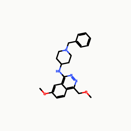 COCc1nnc(NC2CCN(Cc3ccccc3)CC2)c2cc(OC)ccc12